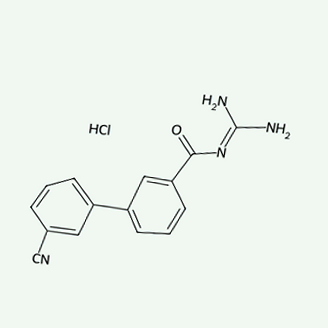 Cl.N#Cc1cccc(-c2cccc(C(=O)N=C(N)N)c2)c1